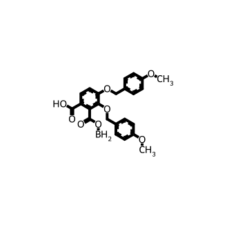 BOC(=O)c1c(C(=O)O)ccc(OCc2ccc(OC)cc2)c1OCc1ccc(OC)cc1